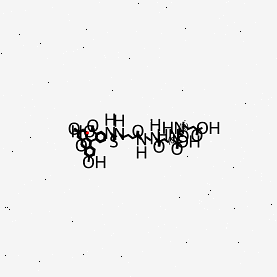 C[C@H](CCC(=O)O)NC(=O)N[C@@H](CCC(=O)NCCNC(=O)CCCNC(=S)Nc1ccc(-c2c3ccc(=O)cc-3oc3cc(O)ccc23)c(C(=O)O)c1)C(=O)O